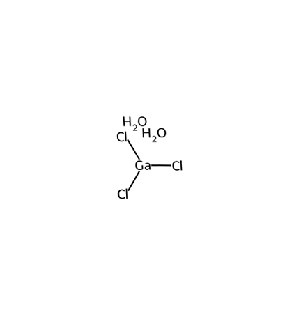 O.O.[Cl][Ga]([Cl])[Cl]